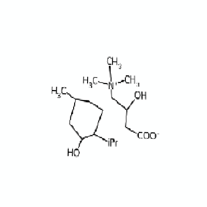 CC1CCC(C(C)C)C(O)C1.C[N+](C)(C)CC(O)CC(=O)[O-]